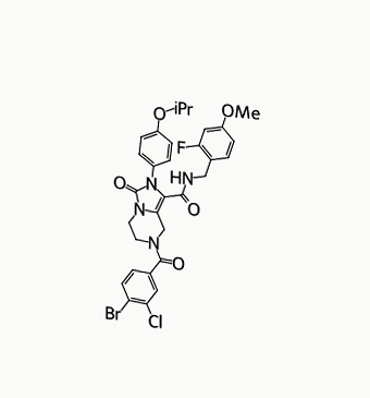 COc1ccc(CNC(=O)c2c3n(c(=O)n2-c2ccc(OC(C)C)cc2)CCN(C(=O)c2ccc(Br)c(Cl)c2)C3)c(F)c1